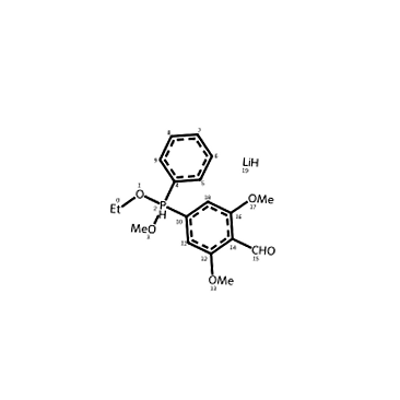 CCO[PH](OC)(c1ccccc1)c1cc(OC)c(C=O)c(OC)c1.[LiH]